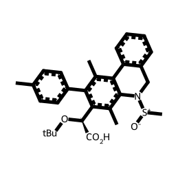 Cc1ccc(-c2c(C)c3c(c(C)c2[C@H](OC(C)(C)C)C(=O)O)N([S+](C)[O-])Cc2ccccc2-3)cc1